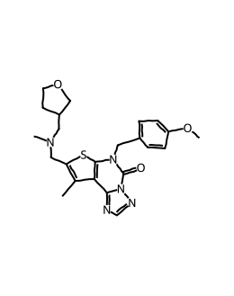 COc1ccc(Cn2c(=O)n3ncnc3c3c(C)c(CN(C)CC4CCOC4)sc32)cc1